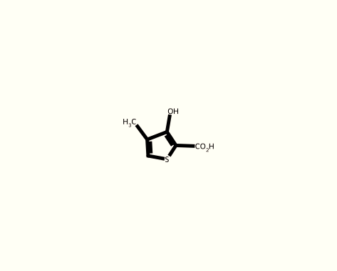 Cc1csc(C(=O)O)c1O